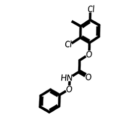 Cc1c(Cl)ccc(OCC(=O)NOc2ccccc2)c1Cl